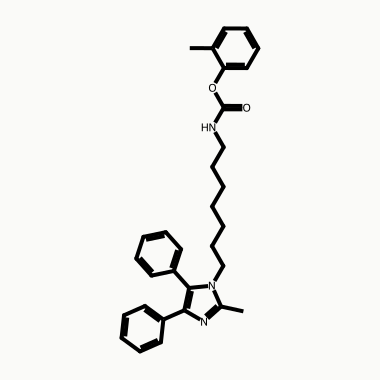 Cc1ccccc1OC(=O)NCCCCCCCn1c(C)nc(-c2ccccc2)c1-c1ccccc1